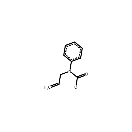 C=CCN(C([O])=O)c1ccccc1